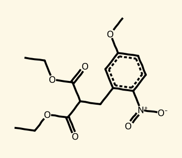 CCOC(=O)C(Cc1cc(OC)ccc1[N+](=O)[O-])C(=O)OCC